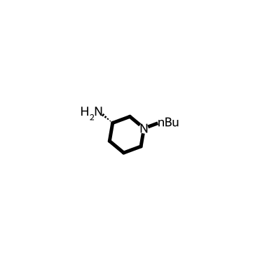 CCCCN1CCC[C@H](N)C1